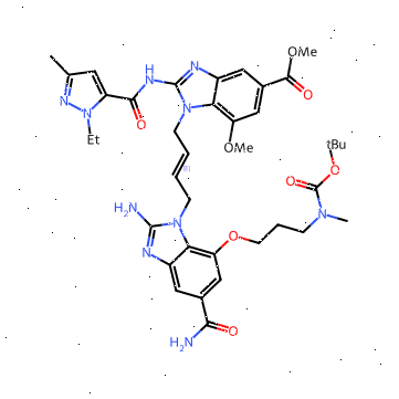 CCn1nc(C)cc1C(=O)Nc1nc2cc(C(=O)OC)cc(OC)c2n1C/C=C/Cn1c(N)nc2cc(C(N)=O)cc(OCCCN(C)C(=O)OC(C)(C)C)c21